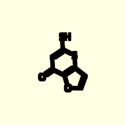 O=c1cc(S)sc2ccoc12